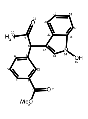 COC(=O)c1cccc(C(C(N)=O)c2cn(O)c3ccccc23)c1